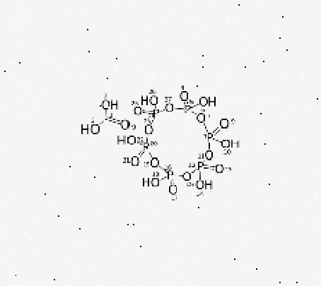 O=C(O)O.O=P1(O)OP(=O)(O)OP(=O)(O)OP(=O)(O)OP(=O)(O)OP(=O)(O)O1